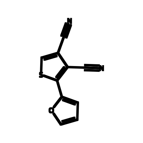 N#Cc1csc(-c2ccco2)c1C#N